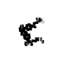 CCC(N)(Cc1ccc(C(=O)N(C)CCN)cc1)C(=O)c1ccc(N(C)CCN)cc1